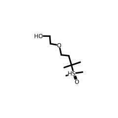 CC(C)(CCOCCO)[SH](C)(C)=O